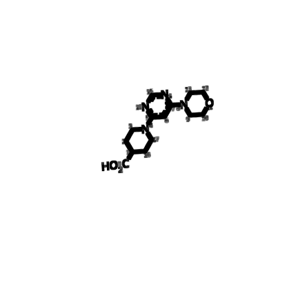 O=C(O)C1CCN(c2cc(N3CCOCC3)ncn2)CC1